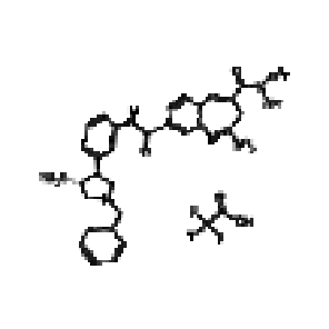 CCCN(CCC)C(=O)C1=Cc2ccc(C(=O)Nc3cccc([C@H]4CN(Cc5ccccc5)C[C@@H]4C(=O)O)c3)cc2N=C(N)C1.O=C(O)C(F)(F)F